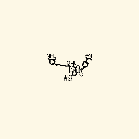 Cc1ncsc1-c1ccc(CNC(=O)[C@@H]2C[C@@H](O)CN2C(=O)[C@@H](NC(=O)CCCCCc2ccc(CN)cc2)C(C)(C)C)cc1.Cl